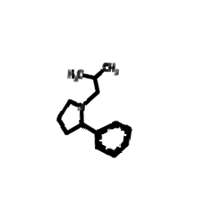 CC(C)CN1CCCC1c1ccccc1